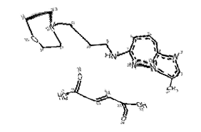 Cc1cnc2ccc(NCCCN3CCOCC3)nn12.O=C(O)C=CC(=O)O